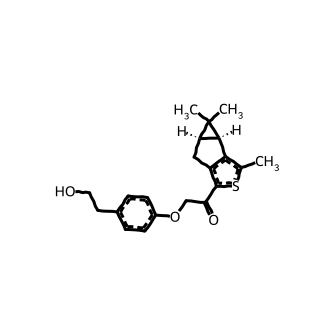 Cc1sc(C(=O)COc2ccc(CCO)cc2)c2c1[C@H]1[C@@H](C2)C1(C)C